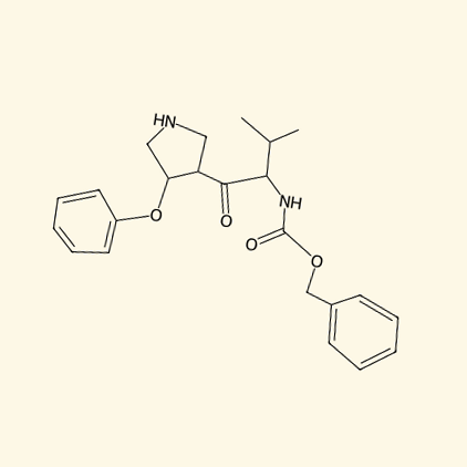 CC(C)C(NC(=O)OCc1ccccc1)C(=O)C1CNCC1Oc1ccccc1